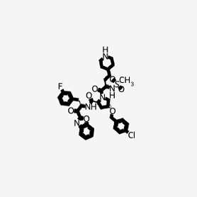 CS(=O)(=O)N[C@H](CCC1CCNCC1)C(=O)N1C[C@H](OCc2ccc(Cl)cc2)C[C@H]1C(=O)N[C@@H](Cc1cccc(F)c1)C(=O)c1nc2ccccc2o1